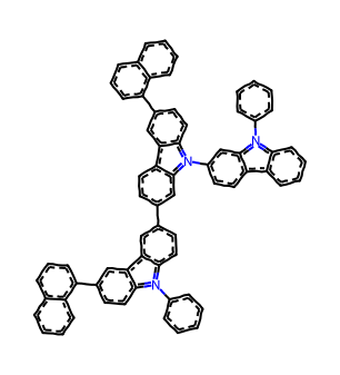 c1ccc(-n2c3ccc(-c4ccc5c6cc(-c7cccc8ccccc78)ccc6n(-c6ccc7c8ccccc8n(-c8ccccc8)c7c6)c5c4)cc3c3cc(-c4cccc5ccccc45)ccc32)cc1